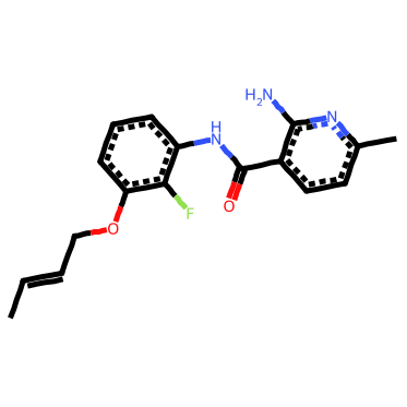 CC=CCOc1cccc(NC(=O)c2ccc(C)nc2N)c1F